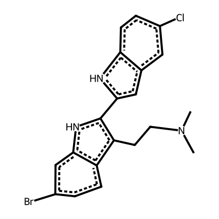 CN(C)CCc1c(-c2cc3cc(Cl)ccc3[nH]2)[nH]c2cc(Br)ccc12